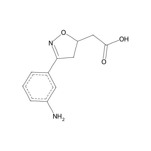 Nc1cccc(C2=NOC(CC(=O)O)C2)c1